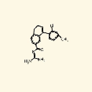 Cc1ccc(C2=CCCc3ccc(C(=O)N=C(N)N)cc32)c(Cl)c1